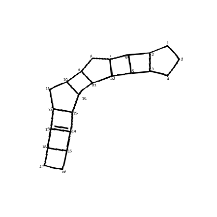 C1CC2C(C1)C1C2C2CC3C4CC5C6=C(C7CCC67)C5C4C3C21